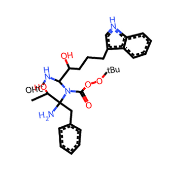 CC(O)C(N)(Cc1ccccc1)N(C(=O)OOC(C)(C)C)C(NC=O)C(O)CCCc1c[nH]c2ccccc12